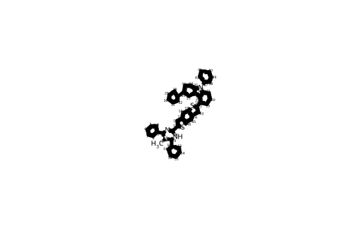 CN1C(c2ccccc2)N=C(c2cc3cc4sc(-c5cccc6c5c5cc(-c7ccccc7)ccc5n6-c5ccccc5)cc4cc3s2)NC1c1ccccc1